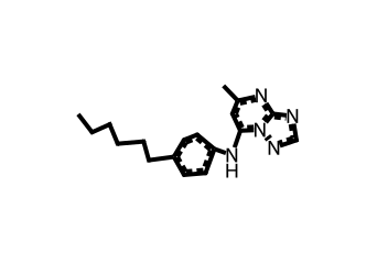 CCCCCCc1ccc(Nc2cc(C)nc3ncnn23)cc1